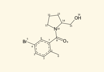 Cc1ccc(Br)cc1C(=O)N1CCCC1CO